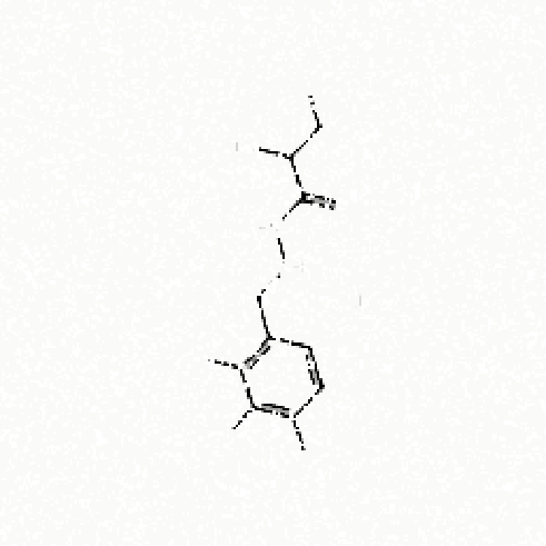 Cl.NC(CO)C(=O)NNCc1ccc(O)c(O)c1O